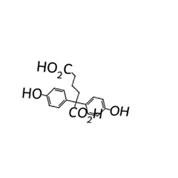 O=C(O)CCCC(C(=O)O)(c1ccc(O)cc1)c1ccc(O)cc1